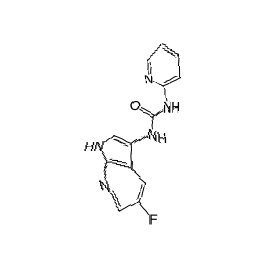 O=C(Nc1ccccn1)Nc1c[nH]c2ncc(F)cc12